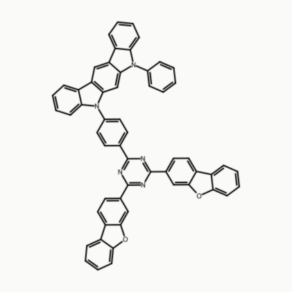 c1ccc(-n2c3ccccc3c3cc4c5ccccc5n(-c5ccc(-c6nc(-c7ccc8c(c7)oc7ccccc78)nc(-c7ccc8c(c7)oc7ccccc78)n6)cc5)c4cc32)cc1